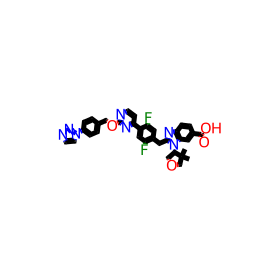 CC1(C)COC[C@H]1n1c(Cc2cc(F)c(-c3ccnc(OCc4ccc(-n5ccnn5)cc4)n3)cc2F)nc2ccc(C(=O)O)cc21